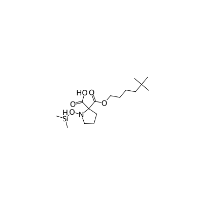 C[SiH](C)ON1CCCC1(C(=O)O)C(=O)OCCCCC(C)(C)C